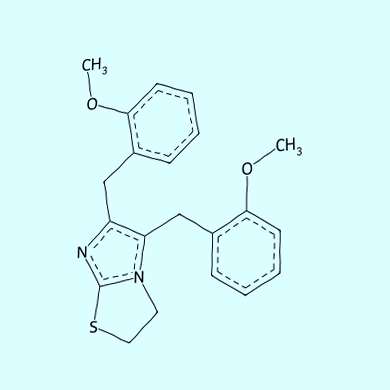 COc1ccccc1Cc1nc2n(c1Cc1ccccc1OC)CCS2